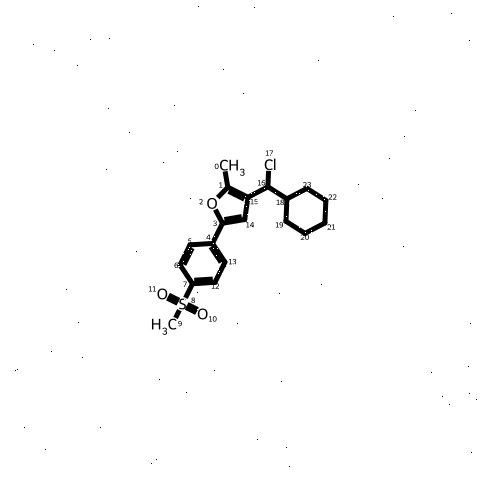 Cc1oc(-c2ccc(S(C)(=O)=O)cc2)cc1C(Cl)C1CCCCC1